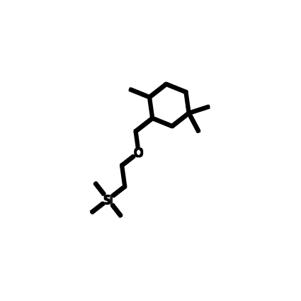 CC1CCC(C)(C)CC1COCC[Si](C)(C)C